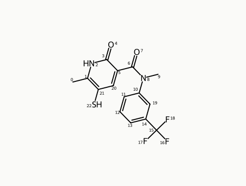 Cc1[nH]c(=O)c(C(=O)N(C)c2cccc(C(F)(F)F)c2)cc1S